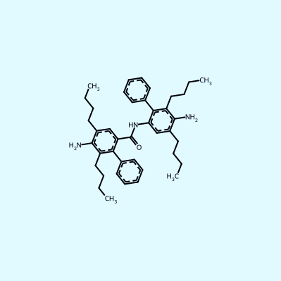 CCCCc1cc(NC(=O)c2cc(CCCC)c(N)c(CCCC)c2-c2ccccc2)c(-c2ccccc2)c(CCCC)c1N